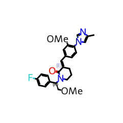 COC[C@@H](c1ccc(F)cc1)N1CCC/C(=C\c2ccc(-n3cnc(C)c3)c(OC)c2)C1=O